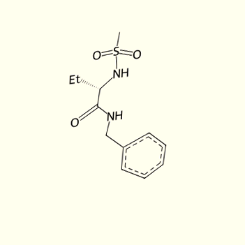 CC[C@H](NS(C)(=O)=O)C(=O)NCc1ccccc1